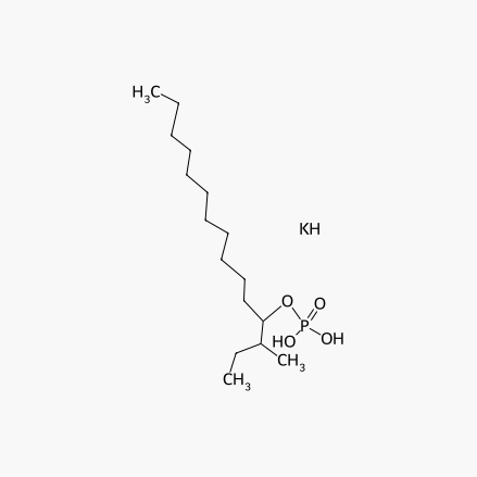 CCCCCCCCCCCC(OP(=O)(O)O)C(C)CC.[KH]